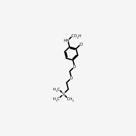 C[Si](C)(C)CCOCOc1ccc(NC(=O)O)c(Cl)c1